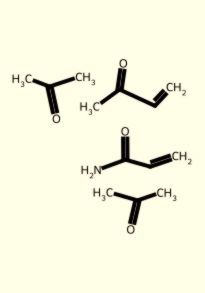 C=CC(C)=O.C=CC(N)=O.CC(C)=O.CC(C)=O